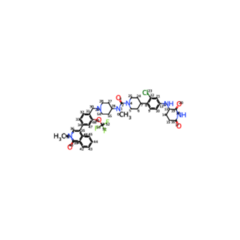 CN(C(=O)N1CCC(c2ccc(NC3CCC(=O)NC3=O)cc2Cl)CC1)C1CCN(Cc2ccc(-c3cn(C)c(=O)c4ccccc34)cc2OC(F)(F)F)CC1